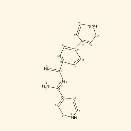 N=C(/N=C(\N)C1=CCNC=C1)c1ccc(C2=CCNC=C2)cc1